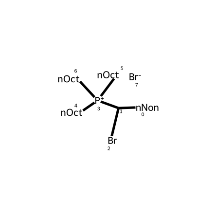 CCCCCCCCCC(Br)[P+](CCCCCCCC)(CCCCCCCC)CCCCCCCC.[Br-]